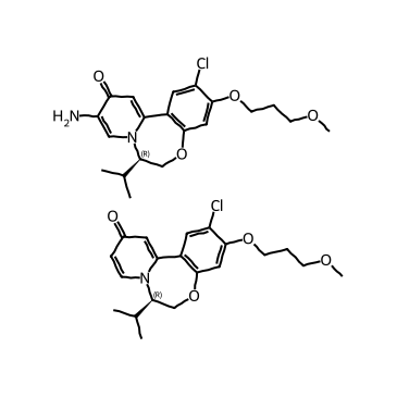 COCCCOc1cc2c(cc1Cl)-c1cc(=O)c(N)cn1[C@H](C(C)C)CO2.COCCCOc1cc2c(cc1Cl)-c1cc(=O)ccn1[C@H](C(C)C)CO2